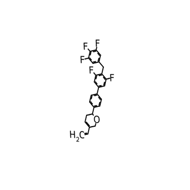 C=CC1=CCC(c2ccc(-c3cc(F)c(Cc4cc(F)c(F)c(F)c4)c(F)c3)cc2)OC1